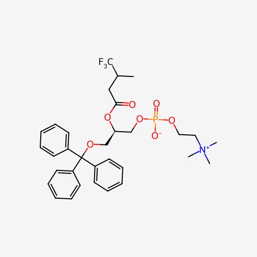 CC(CC(=O)O[C@H](COC(c1ccccc1)(c1ccccc1)c1ccccc1)COP(=O)([O-])OCC[N+](C)(C)C)C(F)(F)F